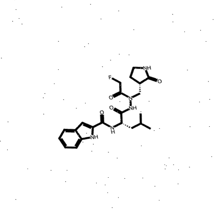 CC(C)C[C@H](NC(=O)c1cc2ccccc2[nH]1)C(=O)NN(C[C@@H]1CCNC1=O)C(=O)CF